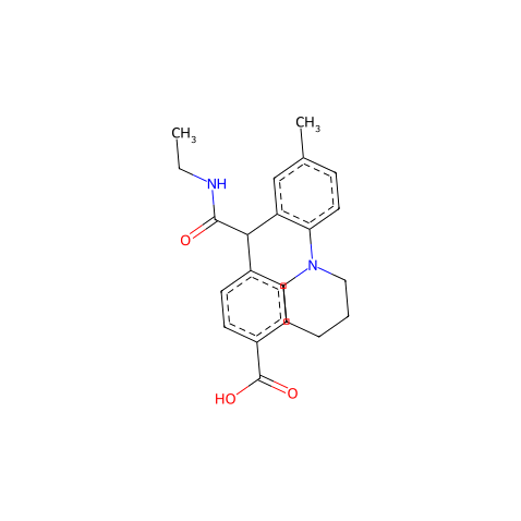 CCNC(=O)C(c1ccc(C(=O)O)cc1)c1cc(C)ccc1N1CCCCC1